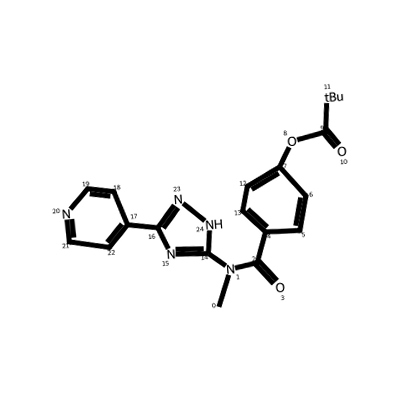 CN(C(=O)c1ccc(OC(=O)C(C)(C)C)cc1)c1nc(-c2ccncc2)n[nH]1